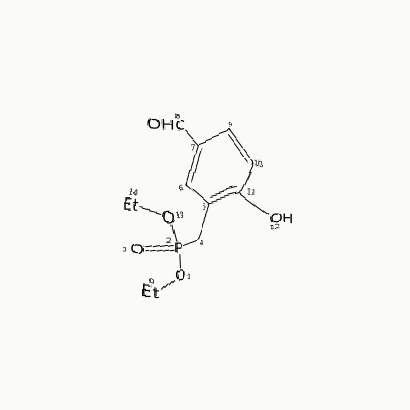 CCOP(=O)(Cc1cc(C=O)ccc1O)OCC